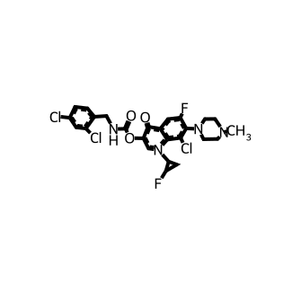 CN1CCN(c2c(F)cc3c(=O)c(OC(=O)NCc4ccc(Cl)cc4Cl)cn(C4CC4F)c3c2Cl)CC1